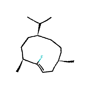 CC(C)[C@H]1CC[C@@H](C)C/C=C(\F)[C@@H](C)CC1